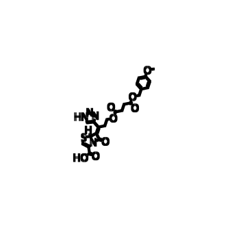 COc1ccc(COC(=O)CCC(=O)OCC/C(=C2\C(=O)N3C(C(=O)O)=CS[C@H]23)c2c[nH]nn2)cc1